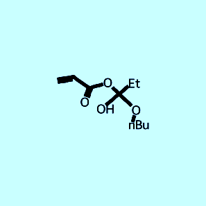 C=CC(=O)OC(O)(CC)OCCCC